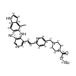 Cc1c(Nc2c(C#N)cncc2/C=C/c2ccc(CN3CCN(C(=O)OC(C)(C)C)CC3)cn2)ccc2[nH]ccc12